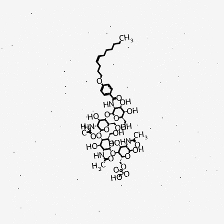 CCCCCC/C=C\CCCOc1ccc(C(=O)N[C@H]2[C@H](O[C@H]3[C@H](O)[C@@H](NC(C)=O)[C@H](O[C@H]4[C@H](O)[C@@H](NC(C)=O)[C@H](O[C@H]5[C@H](O)[C@@H](NC(C)=O)C(O)O[C@@H]5COS(=O)(=O)O)O[C@@H]4CO)O[C@@H]3CO)O[C@H](CO)[C@@H](O)[C@@H]2O)cc1